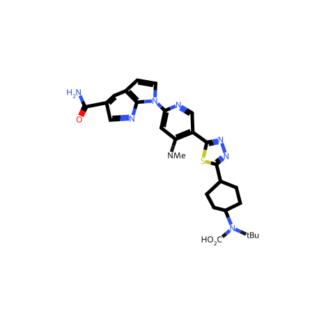 CNc1cc(-n2ccc3cc(C(N)=O)cnc32)ncc1-c1nnc(C2CCC(N(C(=O)O)C(C)(C)C)CC2)s1